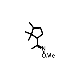 CON=C(C)C1CC=C(C)C1(C)C